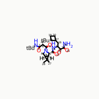 CC(C)(C)NC(=O)[C@@H](C(=O)N1C[C@H]2[C@@H]([C@H]1C(=O)NC(CC1CCC1)C(=O)C(N)=O)C2(C)C)C(C)(C)C